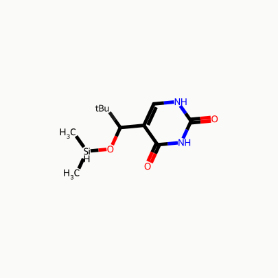 C[SiH](C)OC(c1c[nH]c(=O)[nH]c1=O)C(C)(C)C